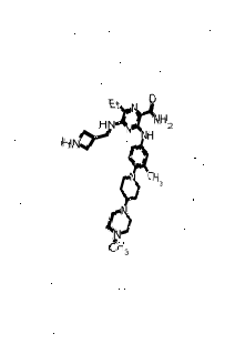 CCc1nc(C(N)=O)c(Nc2ccc(N3CCC(N4CCN(C)CC4)CC3)c(C)c2)nc1NCC1CNC1